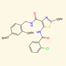 COc1ccc(CNC(=O)c2nc(SC)sc2NC(=O)c2ccccc2Cl)c(OC)c1